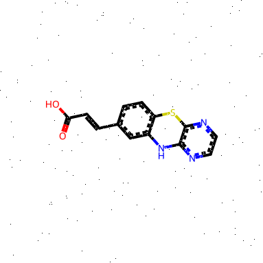 O=C(O)C=Cc1ccc2c(c1)Nc1nccnc1S2